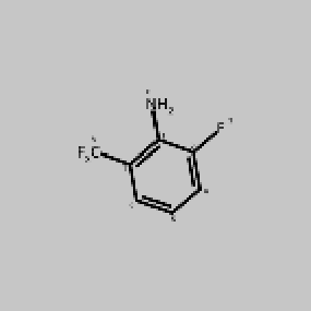 Nc1c(F)cccc1C(F)(F)F